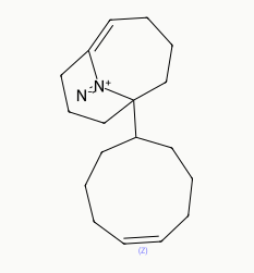 [N-]=[N+]1C2=CCCCC1(C1CCC/C=C\CCC1)CCC2